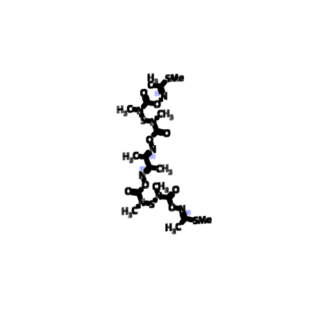 CS/C(C)=N/OC(=O)N(C)SN(C)C(=O)O/N=C(C)/C(C)=N/OC(=O)N(C)SN(C)C(=O)O/N=C(\C)SC